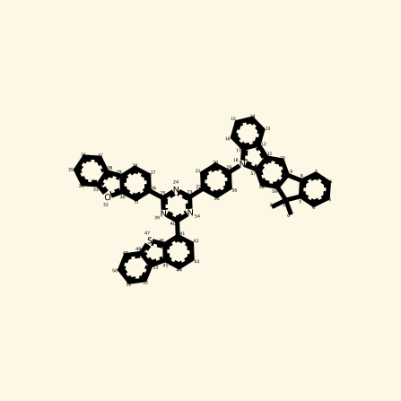 CC1(C)c2ccccc2-c2cc3c4ccccc4n(-c4ccc(-c5nc(-c6ccc7c(c6)oc6ccccc67)nc(-c6cccc7c6sc6ccccc67)n5)cc4)c3cc21